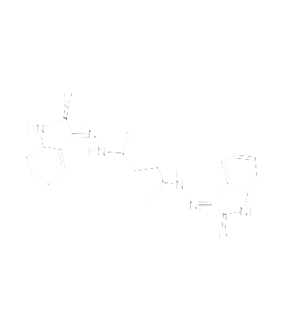 O=C(CCC(=O)N/N=C1/C(=O)Nc2ccccc21)N/N=C1/C(=O)Nc2ccccc21